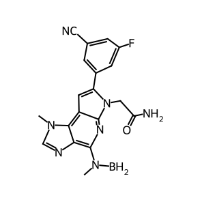 BN(C)c1nc2c(cc(-c3cc(F)cc(C#N)c3)n2CC(N)=O)c2c1ncn2C